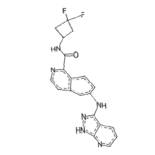 O=C(NC1CC(F)(F)C1)c1nccc2cc(Nc3n[nH]c4ncccc34)ccc12